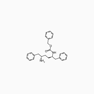 N[C@H](CC[C@H](Cc1ccccc1)NC(=O)OCc1ccccc1)Cc1ccccc1